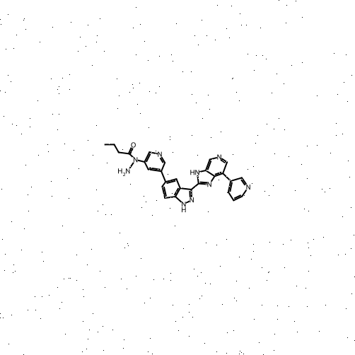 CCCC(=O)N(N)c1cncc(-c2ccc3[nH]nc(-c4nc5c(-c6cccnc6)cncc5[nH]4)c3c2)c1